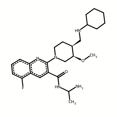 CO[C@H]1CN(c2nc3cccc(F)c3cc2C(=O)NC(C)N)CC[C@H]1CNC1CCCCC1